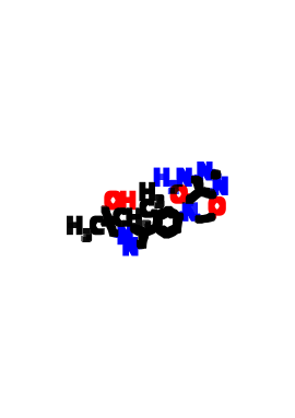 Cc1cc(N2CCOc3ncnc(N)c3C2=O)ccc1-c1cnn(CC(C)(C)CO)c1